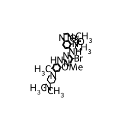 COc1cc(N2CCC(N(C)C)CC2)c(C)cc1Nc1ncc(Br)c(Nc2ccc3nccnc3c2N(C)S(C)(=O)=O)n1